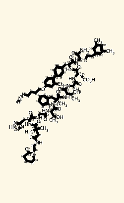 CCc1cc(OCCCCN=[N+]=[N-])ccc1-c1ccc(C[C@H](NC(=O)[C@H](CC(=O)O)NC(=O)[C@H](C)NC(=O)[C@@H](NC(=O)[C@](C)(Cc2ccccc2F)NC(=O)[C@@H](NC(=O)CNC(=O)[C@H](Cc2nn[nH]n2)NC(=O)C(C)(C)CC(=O)NCCN2CCCCC2=O)[C@@H](C)O)[C@@H](C)O)C(=O)N[C@@H](CCCc2cc(C)cc(C)c2)C(N)=O)cc1